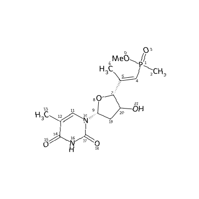 COP(C)(=O)/C=C(\C)[C@H]1O[C@@H](n2cc(C)c(=O)[nH]c2=O)CC1O